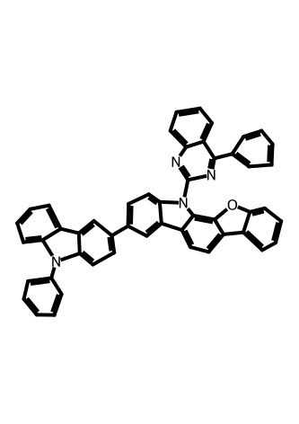 c1ccc(-c2nc(-n3c4ccc(-c5ccc6c(c5)c5ccccc5n6-c5ccccc5)cc4c4ccc5c6ccccc6oc5c43)nc3ccccc23)cc1